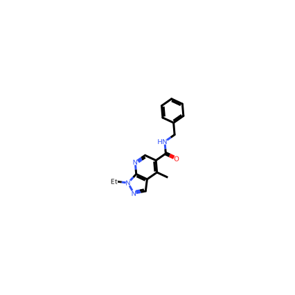 CCn1ncc2c(C)c(C(=O)NCc3ccccc3)cnc21